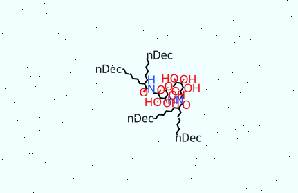 CCCCCCCCCCCCCCCCC(CCCCCCCCCCCCCCCC)C(=O)NCC1O[C@H](O[C@H]2OC(CNC(=O)C(CCCCCCCCCCCCCCCC)CCCCCCCCCCCCCCCC)[C@@H](O)[C@H](O)C2O)C(O)[C@@H](O)[C@@H]1O